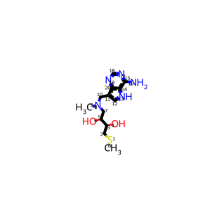 CSC[C@H](O)[C@@H](O)CN(C)Cc1c[nH]c2c(N)ncnc12